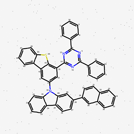 c1ccc(-c2nc(-c3ccccc3)nc(-c3cc(-n4c5ccccc5c5ccc(-c6ccc7ccccc7c6)cc54)cc4c3sc3ccccc34)n2)cc1